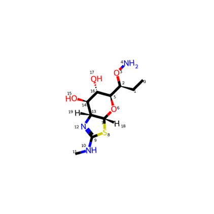 CC[C@H](ON)[C@H]1O[C@@H]2SC(NC)=N[C@@H]2[C@@H](O)[C@@H]1O